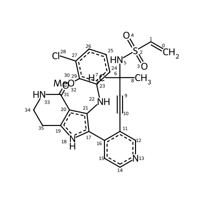 C=CS(=O)(=O)NC(C)(C)C#Cc1cnccc1-c1[nH]c2c(c1Nc1cccc(Cl)c1OC)C(=O)NCC2